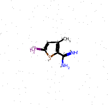 Cc1cc(P)sc1C(=N)N